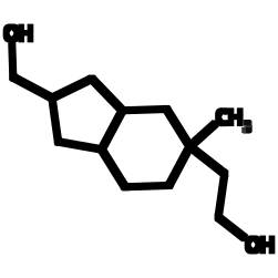 CC1(CCO)CCC2CC(CO)CC2C1